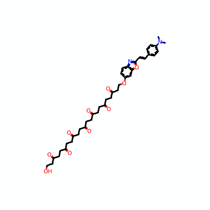 CN(C)c1ccc(C=Cc2nc3ccc(OCCC(=O)CCC(=O)CCC(=O)CCC(=O)CCC(=O)CCC(=O)CCC(=O)CCO)cc3o2)cc1